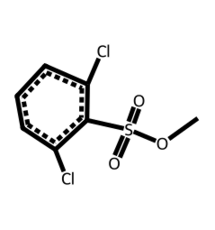 COS(=O)(=O)c1c(Cl)cccc1Cl